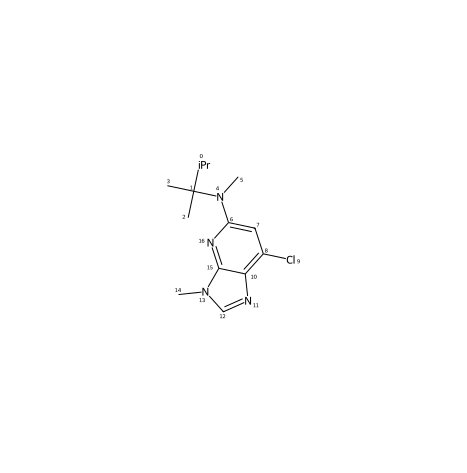 CC(C)C(C)(C)N(C)c1cc(Cl)c2ncn(C)c2n1